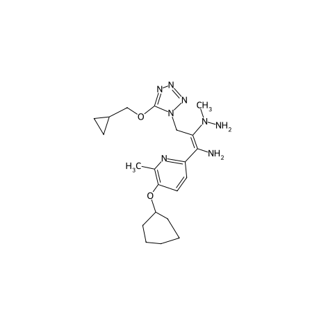 Cc1nc(/C(N)=C(\Cn2nnnc2OCC2CC2)N(C)N)ccc1OC1CCCCC1